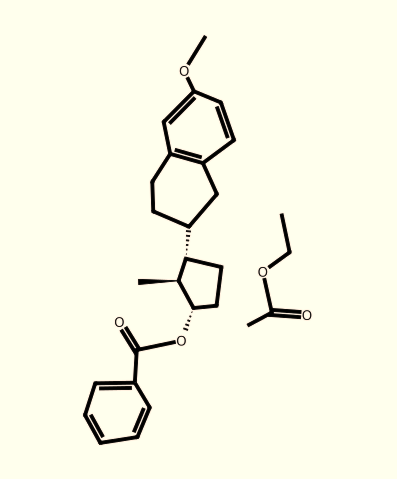 CCOC(C)=O.COc1ccc2c(c1)CCC([C@@H]1CC[C@H](OC(=O)c3ccccc3)[C@H]1C)C2